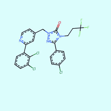 O=c1n(Cc2ccnc(-c3cccc(Cl)c3Cl)c2)nc(-c2ccc(Cl)cc2)n1CCC(F)(F)F